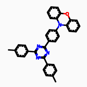 Cc1ccc(-c2nc(-c3ccc(C)cc3)nc(-c3ccc(N4c5ccccc5Oc5ccccc54)cc3)n2)cc1